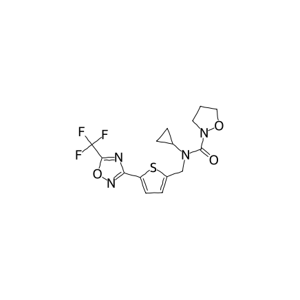 O=C(N1CCCO1)N(Cc1ccc(-c2noc(C(F)(F)F)n2)s1)C1CC1